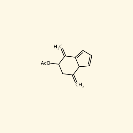 C=C1C2=CC=CC2C(=C)CC1OC(C)=O